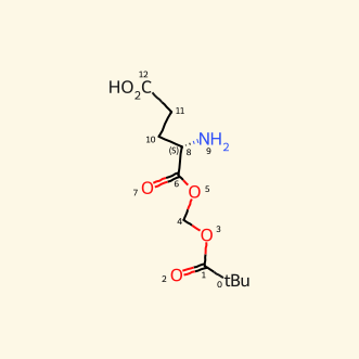 CC(C)(C)C(=O)OCOC(=O)[C@@H](N)CCC(=O)O